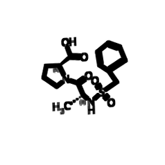 C[C@@H](NS(=O)(=O)Cc1ccccc1)C(=O)N1CCC[C@H]1C(=O)O